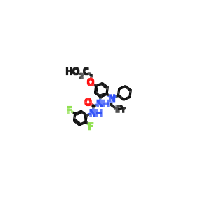 CC(C)CN(c1ccc(OCC(=O)O)cc1NC(=O)Nc1cc(F)ccc1F)C1CCCCC1